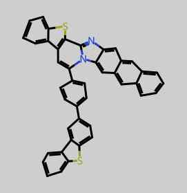 c1ccc2cc3cc4c(cc3cc2c1)nc1c2sc3ccccc3c2cc(-c2ccc(-c3ccc5sc6ccccc6c5c3)cc2)n41